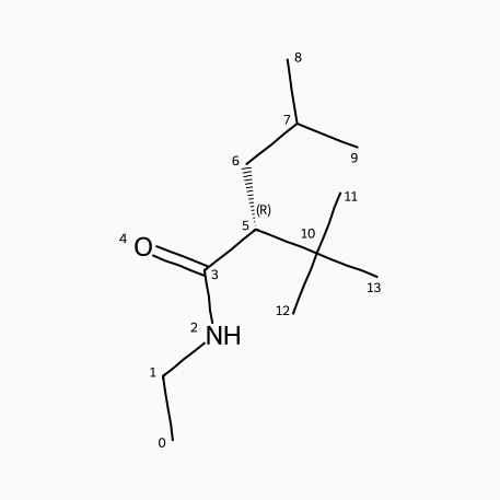 CCNC(=O)[C@H](CC(C)C)C(C)(C)C